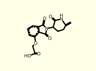 C=C1CCC(N2C(=O)c3cccc(OCC(=O)O)c3C2=O)C(=O)N1